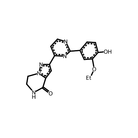 CCOc1cc(-c2nccc(-c3cc4n(n3)CCNC4=O)n2)ccc1O